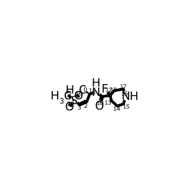 C[C@H](/C=C\S(C)(=O)=O)NC(=O)C1(F)CCCNCC1